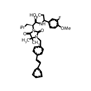 COc1ccc(C(CC(=O)O)NC(=O)[C@H](CC(C)C)N2C(=O)N(Cc3ccc(/C=C/c4ccccc4)cc3)C(C)(C)C2=O)cc1F